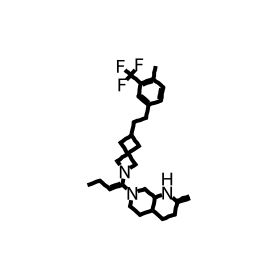 C=C1CCC2CCN(/C(=C/CC)N3CC4(CC(CCc5ccc(C)c(C(F)(F)F)c5)C4)C3)CC2N1